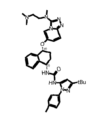 Cc1ccc(-n2nc(C(C)(C)C)cc2NC(=O)N[C@H]2CC[C@@H](Oc3ccc4nnc(N(C)CCN(C)C)n4c3)c3ccccc32)cc1